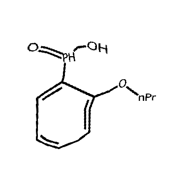 CCCOc1ccccc1[PH](=O)O